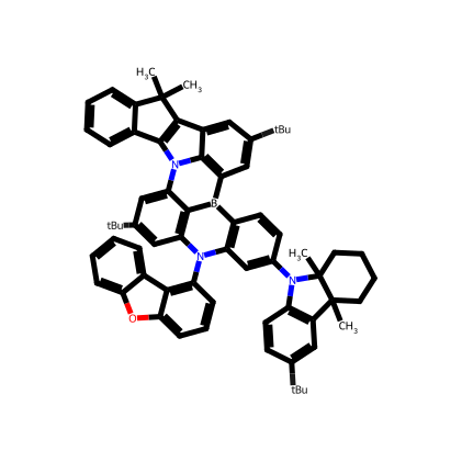 CC(C)(C)c1cc2c3c(c1)-n1c4c(c5cc(C(C)(C)C)cc(c51)B3c1ccc(N3c5ccc(C(C)(C)C)cc5C5(C)CCCCC35C)cc1N2c1cccc2oc3ccccc3c12)C(C)(C)c1ccccc1-4